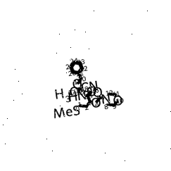 CSCCC(OC(=O)N1CCOCC1)C(=O)NC(C)(C#N)OCc1ccccc1